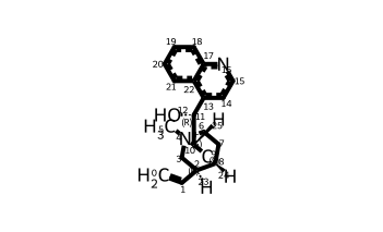 C=C[C@H]1C[N+]2(C)CC[C@H]1C[C@H]2[C@H](O)c1ccnc2ccccc12